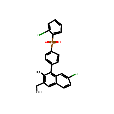 Cc1c(CC(=O)O)cc2ccc(Cl)cc2c1-c1ccc(S(=O)(=O)c2ccccc2Cl)cc1